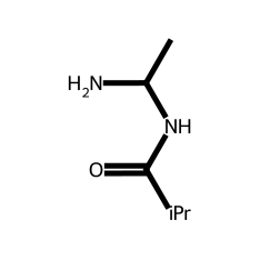 CC(N)NC(=O)C(C)C